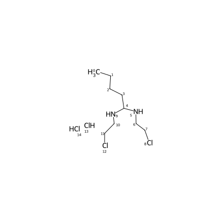 CCCCC(NCCCl)NCCCl.Cl.Cl